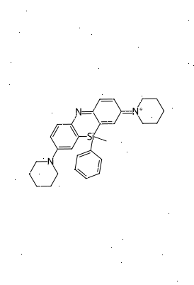 C[Si]1(c2ccccc2)C2=CC(=[N+]3CCCCC3)C=CC2=Nc2ccc(N3CCCCC3)cc21